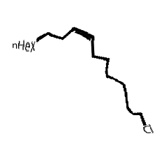 CCCCCCCC/C=C\CCCCCCCl